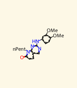 CCCCCn1c(=O)ccc2cnc(Nc3ccc(OC)c(OC)c3)nc21